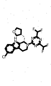 FC(F)c1nc(C(F)F)nc(N2CCc3c([nH]c4ccc(Cl)cc34)[C@@H]2C[C@H]2CCOC2)n1